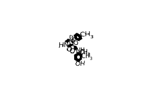 Cc1ccc(S(=O)(=O)N2C=CNC(=O)[C@H]2CC(=O)N[C@@H]2CC[C@@H](O)CC2(C)C)cc1